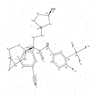 N#Cc1cccc([C@]23CC[C@@H](N(CCN4CC[C@@H](O)C4)C(=O)Nc4ccc(F)c(C(F)(F)F)c4)CC2C3)c1